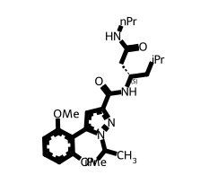 CCCNC(=O)C[C@H](CC(C)C)NC(=O)c1cc(-c2c(OC)cccc2OC)n(C(C)C(C)C)n1